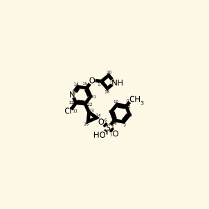 Cc1ccc(S(=O)(=O)O)cc1.Clc1ncc(OC2CNC2)cc1C1CC1